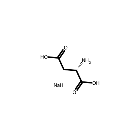 N[C@@H](CC(=O)O)C(=O)O.[NaH]